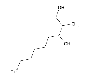 CCCCCCC(O)C(C)CO